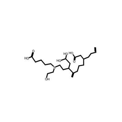 C=CCCC(CCCC(=C)C(CCN(CCO)CCCCC(=O)O)CC(O)O)CC(=O)O